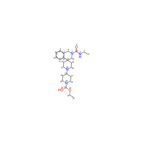 CCNC(=O)N1Cc2ccccc2C2(CCN(C3CCN(C(O)OCC)CC3)CC2)C1